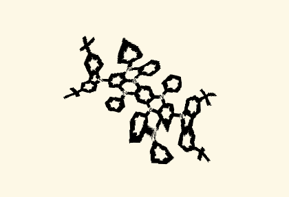 CC(C)(C)c1ccc2c(c1)c1cc(C(C)(C)C)ccc1n2-c1cc2c3c(c1)N(c1ccccc1)c1cc4c(cc1B3c1ccccc1N2c1ccccc1)N(c1ccccc1)c1cc(-n2c3ccc(C(C)(C)C)cc3c3cc(C(C)(C)C)ccc32)cc2c1B4c1ccccc1N2c1ccccc1